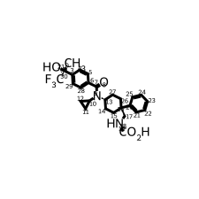 C[C@](O)(c1ccc(C(=O)N(C2CC2)[C@H]2CC[C@@](CNC(=O)O)(c3ccccc3)CC2)cc1)C(F)(F)F